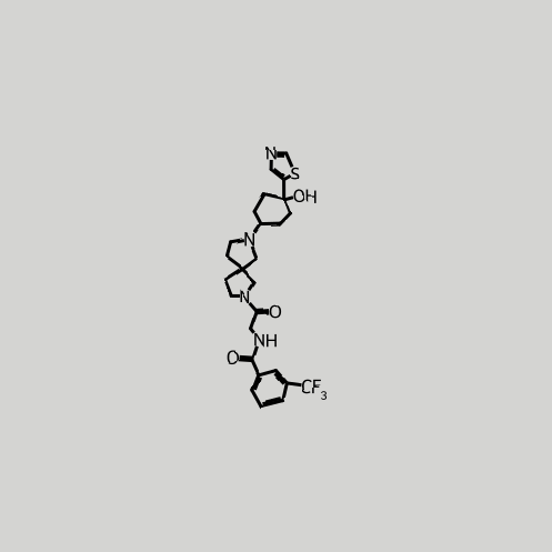 O=C(NCC(=O)N1CCC2(CCN(C3CCC(O)(c4cncs4)CC3)C2)C1)c1cccc(C(F)(F)F)c1